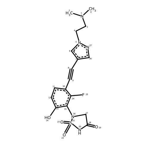 CN(C)CCn1cc(C#Cc2ccc(O)c(N3CC(=O)NS3(=O)=O)c2F)cn1